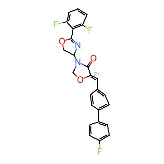 O=C1/C(=C/c2ccc(-c3ccc(F)cc3)cc2)OCN1C1COC(c2c(F)cccc2F)=N1